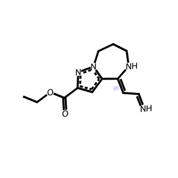 CCOC(=O)c1cc2n(n1)CCCN/C2=C\C=N